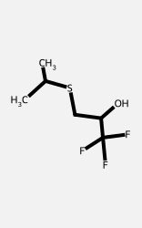 CC(C)SCC(O)C(F)(F)F